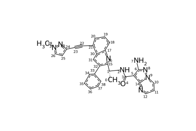 C[C@@H](NC(=O)c1c(N)nn2cccnc12)c1nc2cccc(C#Cc3ccn(C)n3)c2cc1-c1ccccc1